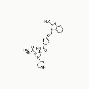 Cc1cc(COc2ccc(C(=O)N[C@H]3CN(C4CCNCC4)C[C@H]3C(=O)NO)cc2)c2ccccc2n1